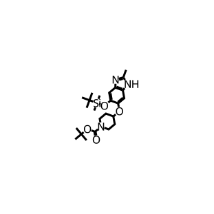 Cc1nc2cc(O[Si](C)(C)C(C)(C)C)c(OC3CCN(C(=O)OC(C)(C)C)CC3)cc2[nH]1